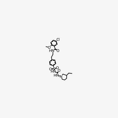 CCC1CCCN(NC(=O)NS(=O)(=O)c2ccc(CCNC(=O)c3cc(Cl)ccc3OC)cc2)C1